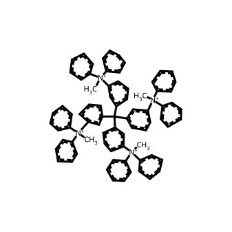 C[N+](c1ccccc1)(c1ccccc1)c1cccc(C(c2cccc([N+](C)(c3ccccc3)c3ccccc3)c2)(c2cccc([N+](C)(c3ccccc3)c3ccccc3)c2)c2cccc([N+](C)(c3ccccc3)c3ccccc3)c2)c1